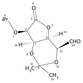 CC(C)O[C@H]1C(=O)O[C@@H]2[C@H]1OC(C)(C)O[C@@H]2C=O